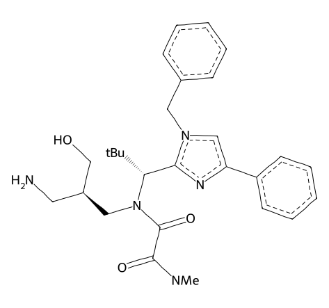 CNC(=O)C(=O)N(C[C@@H](CN)CO)[C@@H](c1nc(-c2ccccc2)cn1Cc1ccccc1)C(C)(C)C